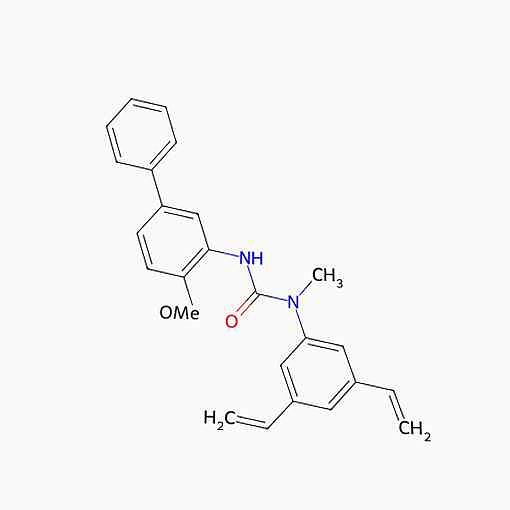 C=Cc1cc(C=C)cc(N(C)C(=O)Nc2cc(-c3ccccc3)ccc2OC)c1